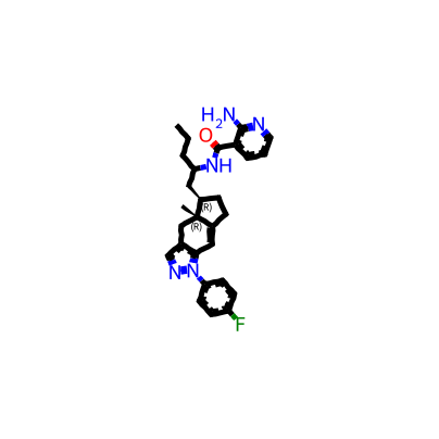 CCCC(C[C@H]1CCC2=Cc3c(cnn3-c3ccc(F)cc3)C[C@@]21C)NC(=O)c1cccnc1N